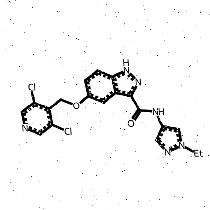 CCn1cc(NC(=O)c2n[nH]c3ccc(OCc4c(Cl)cncc4Cl)cc23)cn1